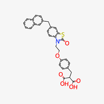 O=C(O)C(Cc1ccc(OCCn2c(=O)sc3cc(Cc4ccc5ccccc5c4)ccc32)cc1)C(=O)O